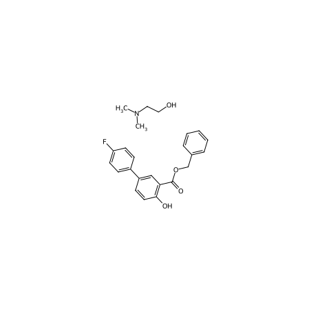 CN(C)CCO.O=C(OCc1ccccc1)c1cc(-c2ccc(F)cc2)ccc1O